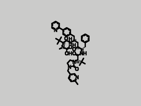 Cc1ccc(CN2CCN([C@H](C(=O)N[C@@H](Cc3ccccc3)[C@@H](O)C[C@H](Cc3ccc(-c4ccccn4)cc3)NC(=O)[C@@H](N(C)C(=O)O)C(C)(C)C)C(C)(C)C)C2=O)cn1